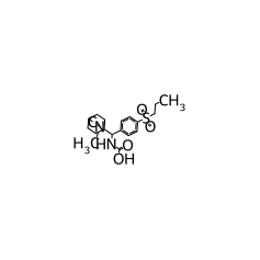 CCCS(=O)(=O)c1ccc(C(NC(=O)O)C23CCC(CC2)CN3C)cc1